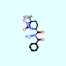 NN(C(=O)c1ccccc1)C(=O)[C@@H]1CC[C@@H]2CN1C(=O)N2OS(=O)(=O)O